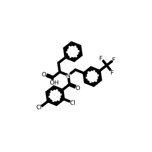 O=C(O)C(Cc1ccccc1)N(Cc1cccc(C(F)(F)F)c1)C(=O)c1ccc(Cl)cc1Cl